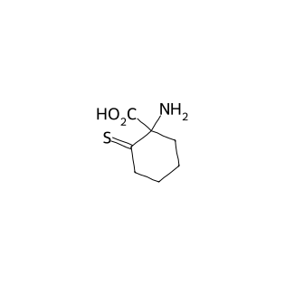 NC1(C(=O)O)CCCCC1=S